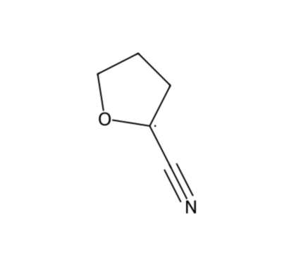 N#C[C]1CCCO1